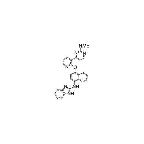 CNc1nccc(-c2cccnc2Oc2ccc(Nc3nc4ccncc4[nH]3)c3ccccc23)n1